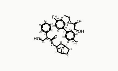 CCOC(=O)CO.CN1C2CCC1CC(OC(=O)C(CO)c1ccccc1)C2.Fc1ccc(-c2ccc(F)cc2)cc1